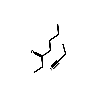 CCC#N.CCCCC(=O)CC